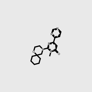 Cn1c(N2CCOC3(CCCCC3)C2)nc(-c2ccncn2)cc1=O